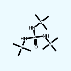 CS(C)(C)NP(=O)(NS(C)(C)C)NS(C)(C)C